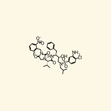 CC(C)CN(C[C@H](O)[C@H](Cc1ccccc1)NC(=O)[C@H](C(C)C)N1CC(=O)N(Cc2c(F)cccc2[N+](=O)[O-])C1=O)S(=O)(=O)c1ccc(Cl)c(N)c1